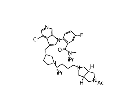 CC(=O)N1C[C@@H]2CN(CCC[C@@H](C(C)C)N3CC[C@H](Cc4cn(-c5ccc(F)cc5C(=O)N(C)C(C)C)c5cncc(Cl)c45)C3)C[C@H]2C1